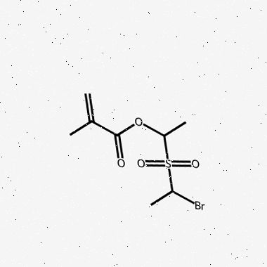 C=C(C)C(=O)OC(C)S(=O)(=O)C(C)Br